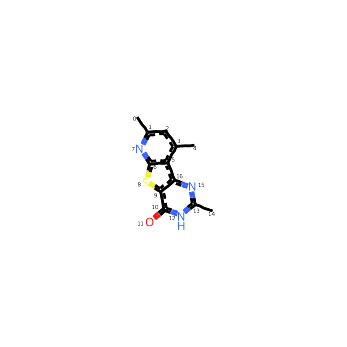 Cc1cc(C)c2c(n1)sc1c(=O)[nH]c(C)nc12